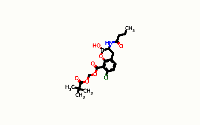 CCCC(=O)NC1Cc2ccc(Cl)c(C(=O)OCOC(=O)C(C)(C)C)c2OB1O